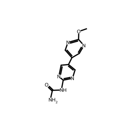 COc1ncc(-c2cnc(NC(N)=O)nc2)cn1